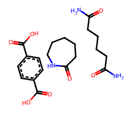 NC(=O)CCCCC(N)=O.O=C(O)c1ccc(C(=O)O)cc1.O=C1CCCCCN1